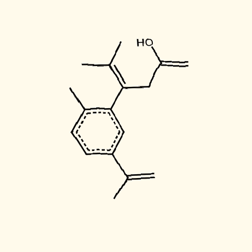 C=C(O)CC(=C(C)C)c1cc(C(=C)C)ccc1C